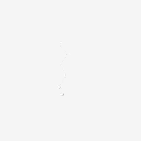 [Li+].[S-]CCCCl